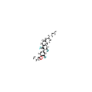 CC=CCCC1CCC2c3cc(F)c(-c4ccc(OC(F)(F)F)c(F)c4)c(F)c3CCC2C1